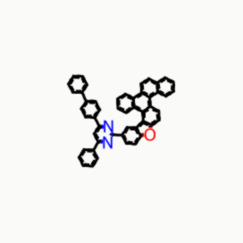 c1ccc(-c2ccc(-c3cc(-c4ccccc4)nc(-c4ccc5oc6ccc7c8c9ccccc9ccc8c8ccccc8c7c6c5c4)n3)cc2)cc1